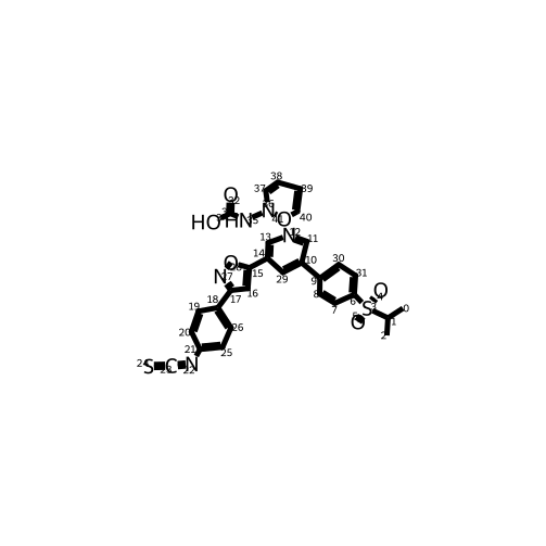 CC(C)S(=O)(=O)c1ccc(-c2cncc(-c3cc(-c4ccc(N=C=S)cc4)no3)c2)cc1.O=C(O)NN1C=CC=CO1